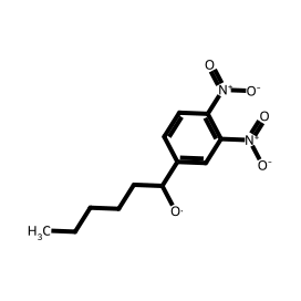 CCCCCC([O])c1ccc([N+](=O)[O-])c([N+](=O)[O-])c1